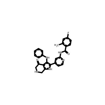 Cc1cc(F)ccc1C(=O)Nc1cc(-c2[nH]c3c(c2Nc2ccccc2)C(=O)CNC3)ccn1